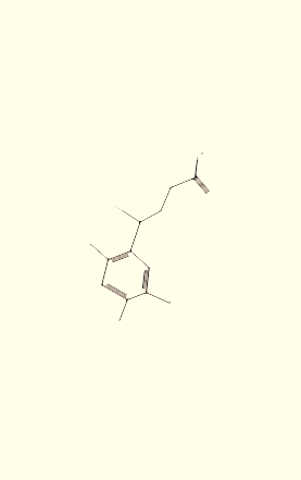 NC(CCC(=O)O)c1cc(F)c(F)cc1F